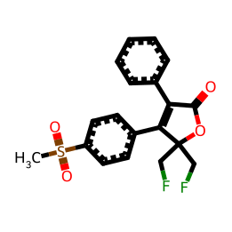 CS(=O)(=O)c1ccc(C2=C(c3ccccc3)C(=O)OC2(CF)CF)cc1